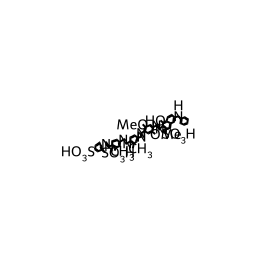 COc1cc(N=Nc2c(S(=O)(=O)O)cc3cc(Nc4ccccc4)ccc3c2O)c(OC)cc1N=Nc1ccc(N=Nc2ccc(N=Nc3ccc(S(=O)(=O)O)cc3S(=O)(=O)O)c(C)c2)c(C)c1